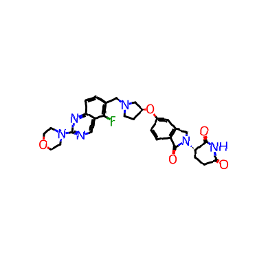 O=C1CC[C@H](N2Cc3cc(O[C@H]4CCN(Cc5ccc6nc(N7CCOCC7)ncc6c5F)C4)ccc3C2=O)C(=O)N1